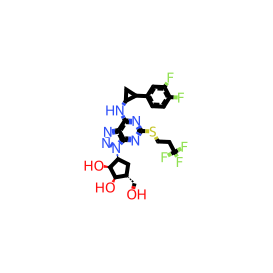 OC[C@H]1C[C@@H](n2nnc3c(NC4CC4c4ccc(F)c(F)c4)nc(SCCC(F)(F)F)nc32)[C@H](O)[C@@H]1O